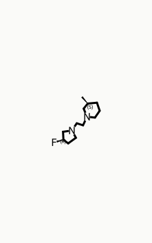 C[C@H]1CCCN(CCN2CC[C@@H](F)C2)C1